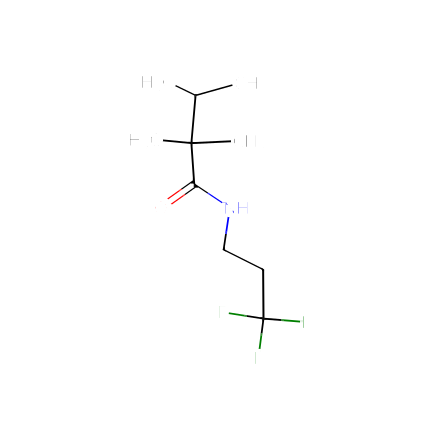 CC(C)C(C)(C)C(=O)NCCC(F)(F)F